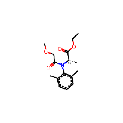 CCOC(=O)[C@H](C)N(C(=O)COC)c1c(C)cccc1C